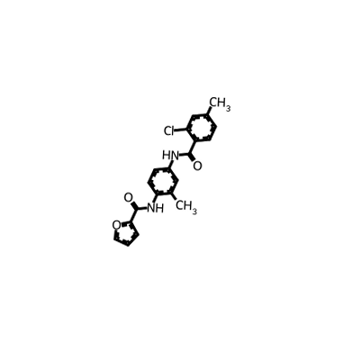 Cc1ccc(C(=O)Nc2ccc(NC(=O)c3ccco3)c(C)c2)c(Cl)c1